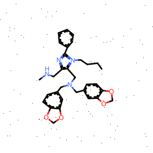 CCCCn1c(-c2ccccc2)nc(CNC)c1CN(Cc1ccc2c(c1)OCO2)Cc1ccc2c(c1)OCO2